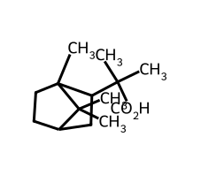 CC(C)(C(=O)O)C1CC2CCC1(C)C2(C)C